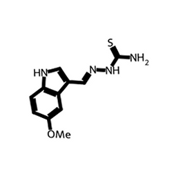 COc1ccc2[nH]cc(C=NNC(N)=S)c2c1